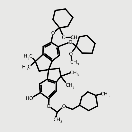 COC1(Oc2cc3c(cc2OC2(OC)CCCCC2)C2(CC(C)(C)c4cc(OC(C)OCC5CCC(C)CC5)c(O)cc42)CC3(C)C)CCCCC1